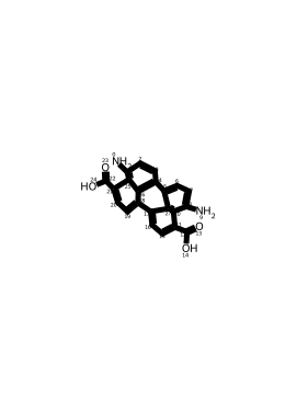 Nc1ccc2c3ccc(N)c4c(C(=O)O)ccc(c5ccc(C(=O)O)c1c25)c43